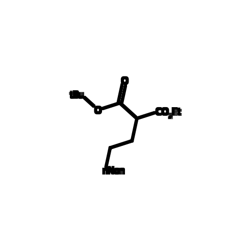 CCCCCCCCCCCC(C(=O)OCC)C(=O)OC(C)(C)C